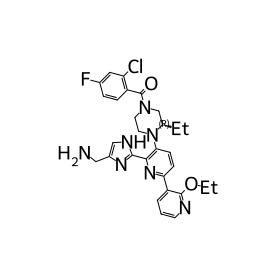 CCOc1ncccc1-c1ccc(N2CCN(C(=O)c3ccc(F)cc3Cl)C[C@H]2CC)c(-c2nc(CN)c[nH]2)n1